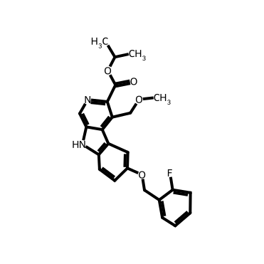 COCc1c(C(=O)OC(C)C)ncc2[nH]c3ccc(OCc4ccccc4F)cc3c12